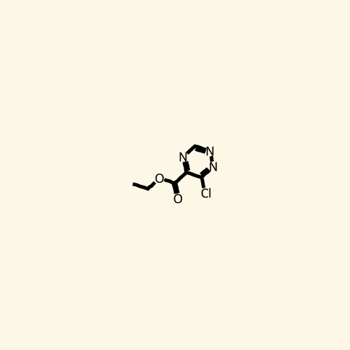 CCOC(=O)c1ncnnc1Cl